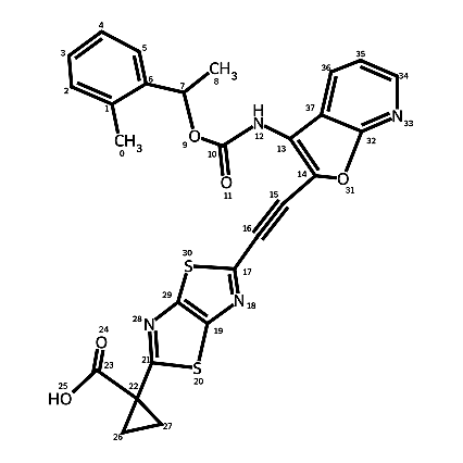 Cc1ccccc1C(C)OC(=O)Nc1c(C#Cc2nc3sc(C4(C(=O)O)CC4)nc3s2)oc2ncccc12